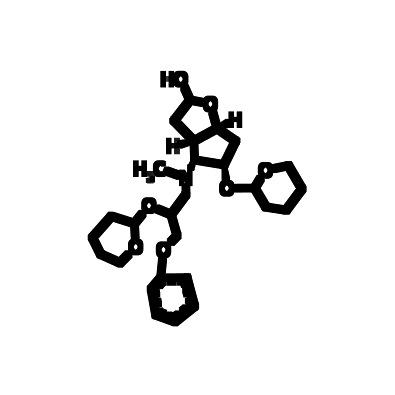 CN(CC(COc1ccccc1)OC1CCCCO1)[C@@H]1[C@@H]2CC(O)O[C@@H]2C[C@H]1OC1CCCCO1